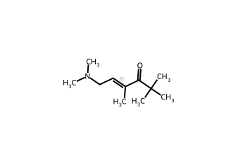 C/C(=C\CN(C)C)C(=O)C(C)(C)C